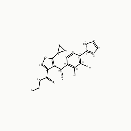 CCOC(=O)c1noc(C2CC2)c1C(=O)c1ccc(-c2ncc[nH]2)c(F)c1C